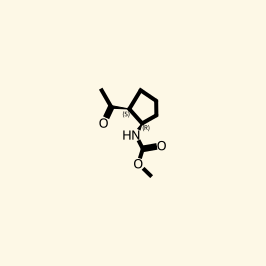 COC(=O)N[C@@H]1CCC[C@@H]1C(C)=O